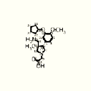 COc1ccc([C@@H]2CN(CC(=O)O)C[C@@]2(C)CN)cc1OC1CCCC1